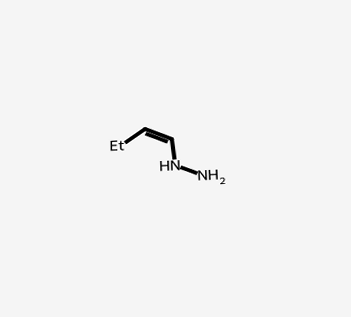 CC/C=C\NN